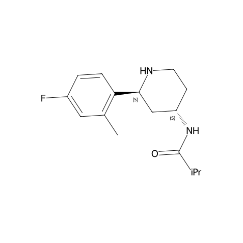 Cc1cc(F)ccc1[C@@H]1C[C@@H](NC(=O)C(C)C)CCN1